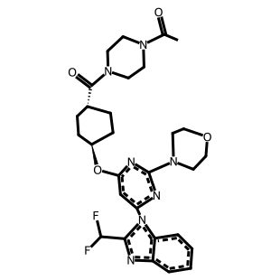 CC(=O)N1CCN(C(=O)[C@H]2CC[C@H](Oc3cc(-n4c(C(F)F)nc5ccccc54)nc(N4CCOCC4)n3)CC2)CC1